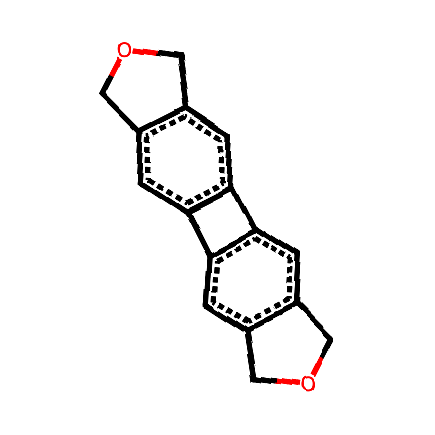 c1c2c(cc3c1-c1cc4c(cc1-3)COC4)COC2